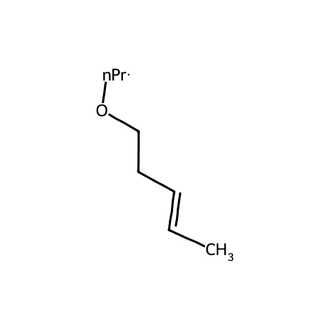 C/C=C/CCO[CH]CC